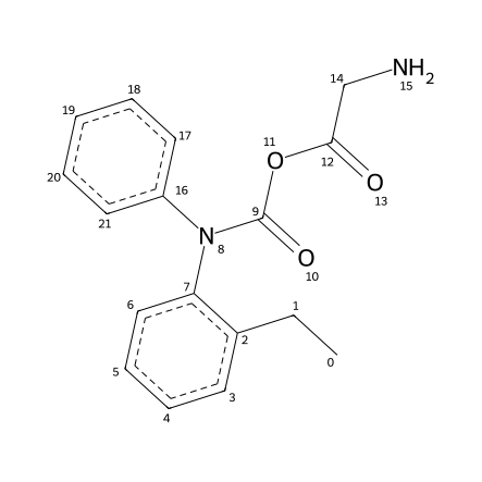 CCc1ccccc1N(C(=O)OC(=O)CN)c1ccccc1